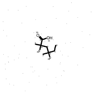 CCC(C)(F)CC(C)(F)C(=O)O